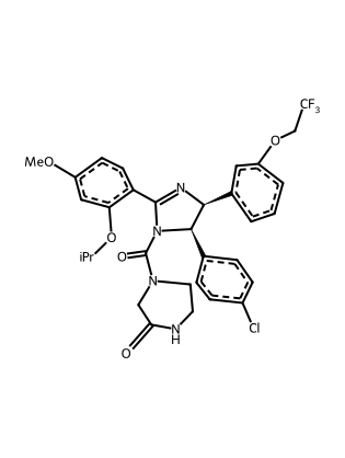 COc1ccc(C2=N[C@@H](c3cccc(OCC(F)(F)F)c3)[C@@H](c3ccc(Cl)cc3)N2C(=O)N2CCNC(=O)C2)c(OC(C)C)c1